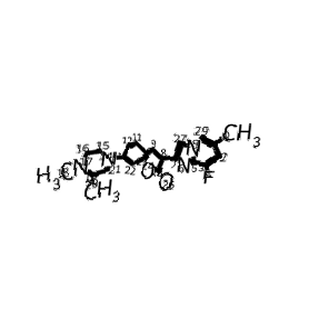 Cc1cc(F)c2nc(-c3cc4ccc(N5CCN(C)[C@H](C)C5)cc4oc3=O)cn2c1